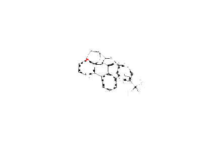 COc1cccc(-c2ncccn2)c1C(=O)N1C2CCC1C(Nc1cnc(C(F)(F)F)cn1)C2